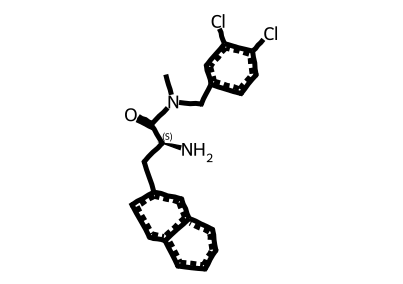 CN(Cc1ccc(Cl)c(Cl)c1)C(=O)[C@@H](N)Cc1ccc2ccccc2c1